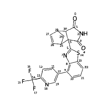 O=C1NC(=O)C2(c3nc4c(-c5ccc(C(F)(F)F)nc5)cccc4s3)C3C=CC(C3)C12